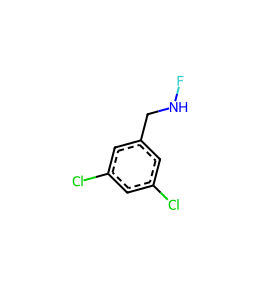 FNCc1cc(Cl)cc(Cl)c1